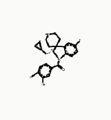 O=C(c1ccc(F)c(C(F)(F)F)c1)N1c2ccc(F)cc2C2(CCNCC2)[C@H]1CC1CC1